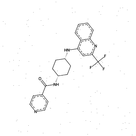 O=C(N[C@H]1CC[C@@H](Nc2cc(C(F)(F)F)nc3ccccc23)CC1)c1ccncc1